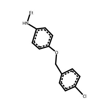 CCNc1ccc(OCc2ccc(Cl)cc2)cc1